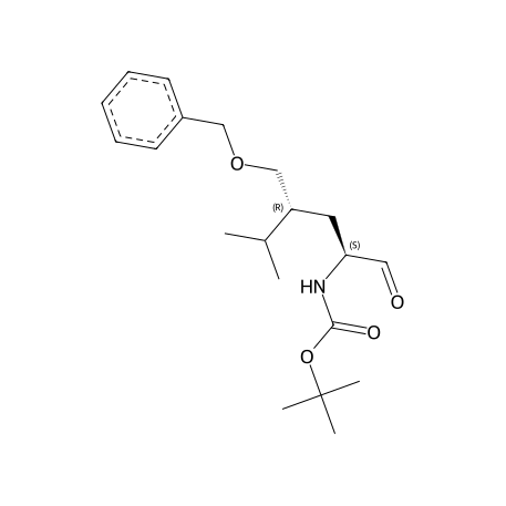 CC(C)[C@H](COCc1ccccc1)C[C@@H](C=O)NC(=O)OC(C)(C)C